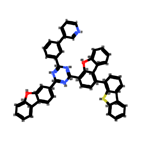 c1cncc(-c2cccc(-c3nc(-c4ccc5c(c4)oc4ccccc45)nc(-c4ccc(-c5cccc6c5sc5ccccc56)c5c4oc4ccccc45)n3)c2)c1